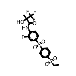 CCS(=O)(=O)c1ccc(S(=O)(=O)c2ccc(NC(=O)C(C)(O)C(F)(F)F)c(F)c2)cc1